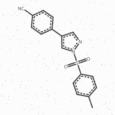 Cc1ccc(S(=O)(=O)n2cc(-c3ccc(C#N)cc3)cn2)cc1